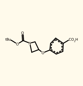 CC(C)(C)OC(=O)N1CC(Oc2ccc(C(=O)O)cc2)C1